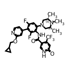 C[C@@H]1CN(c2cc(F)c(-c3ccnc(OCC4CC4)c3)c(F)c2NC(=O)c2c[nH]c(=O)cc2C(F)(F)F)C[C@H](C)N1C